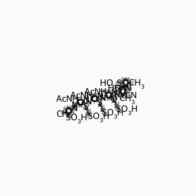 CC(=O)Nc1cc(N=Nc2cc(SCCCS(=O)(=O)O)c(N=Nc3cc(OCCCS(=O)(=O)O)c(N=Nc4c(C)c(C#N)c5nc6c(C)ccc(S(=O)(=O)O)c6n5c4O)cc3NC(C)=O)cc2NC(C)=O)c(SCCCS(=O)(=O)O)cc1N=Nc1ccc(Cl)c(S(=O)(=O)O)c1